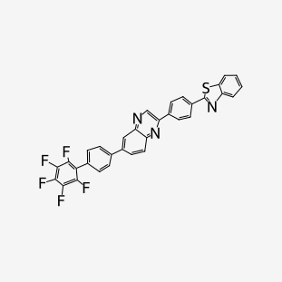 Fc1c(F)c(F)c(-c2ccc(-c3ccc4nc(-c5ccc(-c6nc7ccccc7s6)cc5)cnc4c3)cc2)c(F)c1F